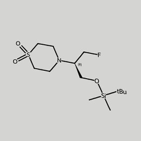 CC(C)(C)[Si](C)(C)OC[C@H](CF)N1CCS(=O)(=O)CC1